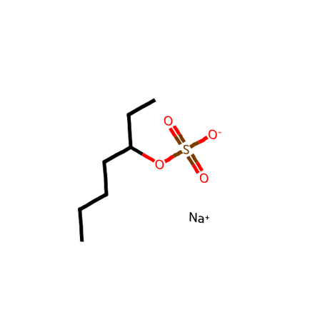 CCCCC(CC)OS(=O)(=O)[O-].[Na+]